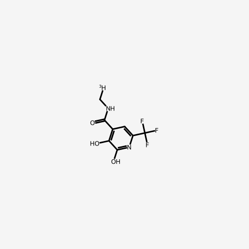 [3H]CNC(=O)c1cc(C(F)(F)F)nc(O)c1O